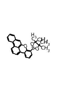 CC1(C)OB(c2cccc3c2Oc2cc4ccccc4c4cccc-3c24)OC1(C)C